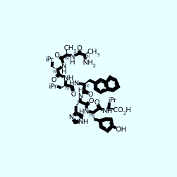 CC(C)C[C@H](NC(=O)[C@H](C)NC(=O)[C@H](C)N)C(=O)N[C@@H](CC(C)C)C(=O)N[C@@H](Cc1ccc2ccccc2c1)C(=O)N[C@@H](Cc1c[nH]cn1)C(=O)N[C@@H](Cc1ccc(O)cc1)C(=O)N[C@H](C(=O)O)C(C)C